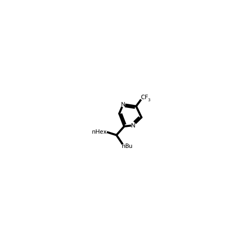 CCCCCCC(CCCC)c1cnc(C(F)(F)F)cn1